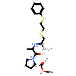 CCOC(=O)[C@H](CSCCSc1ccccc1)NC(C)C(=O)N1CCC[C@H]1C(=O)OC(C)(C)C